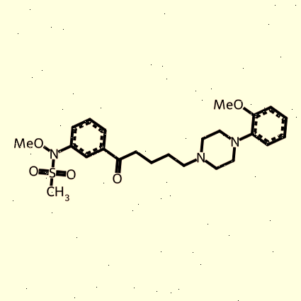 COc1ccccc1N1CCN(CCCCC(=O)c2cccc(N(OC)S(C)(=O)=O)c2)CC1